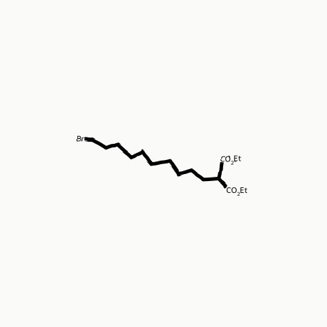 CCOC(=O)C(CCCCCCCCCCBr)C(=O)OCC